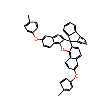 Cc1ccc(Oc2ccc3c4c(ccc3c2)C2(c3ccccc3-c3ccccc32)c2ccc3cc(Oc5ccc(C)cc5)ccc3c2O4)cc1